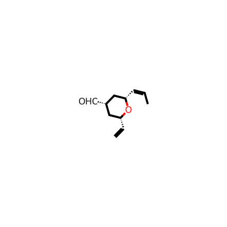 C=C[C@@H]1C[C@H](C=O)C[C@H](/C=C\C)O1